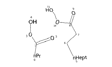 CCCC(=O)OO.CCCCCCCCCC(=O)OO